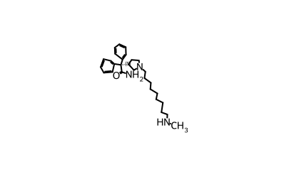 CNCCCCCCCCCN1CC[C@@H](C(C(N)=O)(c2ccccc2)c2ccccc2)C1